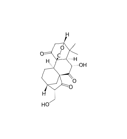 CC1(C)[C@H]2[C@H](O)C(=O)[C@@]34C[C@@H](CC[C@H]3[C@@]23CO[C@@H]1CC3=O)[C@@H](CO)C4=O